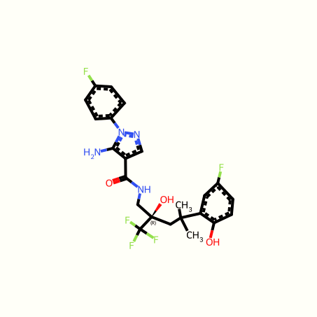 CC(C)(C[C@@](O)(CNC(=O)c1cnn(-c2ccc(F)cc2)c1N)C(F)(F)F)c1cc(F)ccc1O